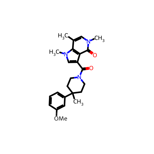 COc1cccc(C2(C)CCN(C(=O)c3cn(C)c4c(C)cn(C)c(=O)c34)CC2)c1